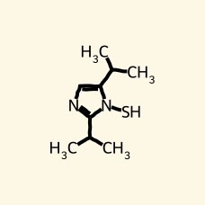 CC(C)c1cnc(C(C)C)n1S